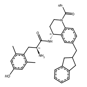 CCCC(=O)N1CC[C@@H](NC(=O)[C@@H](N)Cc2c(C)cc(O)cc2C)c2cc(CC3Cc4ccccc4C3)ccc21